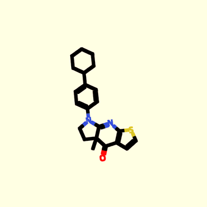 CC12CCN(c3ccc(C4CCCCC4)cc3)C1=Nc1sccc1C2=O